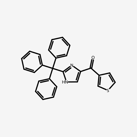 O=C(c1ccsc1)c1c[nH]c(C(c2ccccc2)(c2ccccc2)c2ccccc2)n1